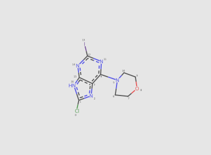 Clc1nc2c(N3CCOCC3)nc(I)nc2[nH]1